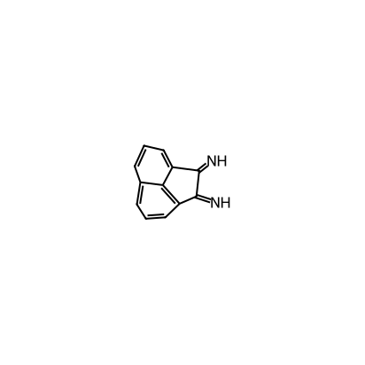 N=C1C(=N)c2cccc3cccc1c23